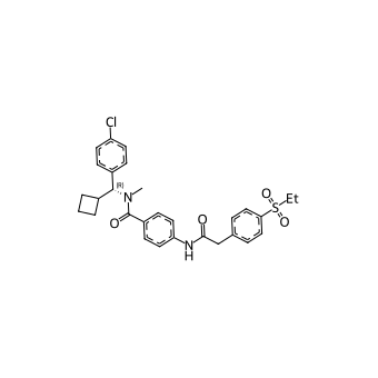 CCS(=O)(=O)c1ccc(CC(=O)Nc2ccc(C(=O)N(C)[C@@H](c3ccc(Cl)cc3)C3CCC3)cc2)cc1